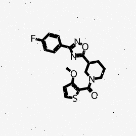 COc1ccsc1C(=O)N1CCCC(c2nc(-c3ccc(F)cc3)no2)C1